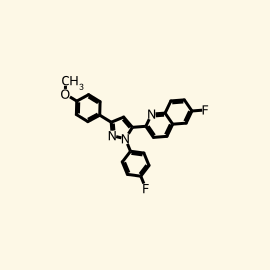 COc1ccc(-c2cc(-c3ccc4cc(F)ccc4n3)n(-c3ccc(F)cc3)n2)cc1